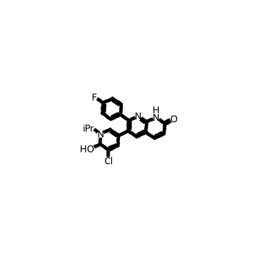 CC(C)N1C=C(c2cc3ccc(=O)[nH]c3nc2-c2ccc(F)cc2)C=C(Cl)C1O